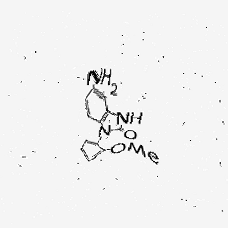 COc1ccccc1-n1c(=O)[nH]c2cc(N)ccc21